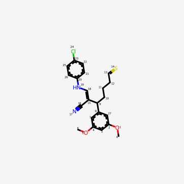 COc1cc(OC)cc(C(CCCC=S)C(C#N)=CNc2ccc(Cl)cc2)c1